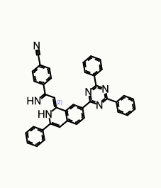 N#Cc1ccc(C(=N)/C=C2\NC(c3ccccc3)=Cc3ccc(-c4nc(-c5ccccc5)nc(-c5ccccc5)n4)cc32)cc1